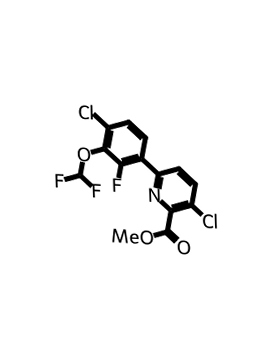 COC(=O)c1nc(-c2ccc(Cl)c(OC(F)F)c2F)ccc1Cl